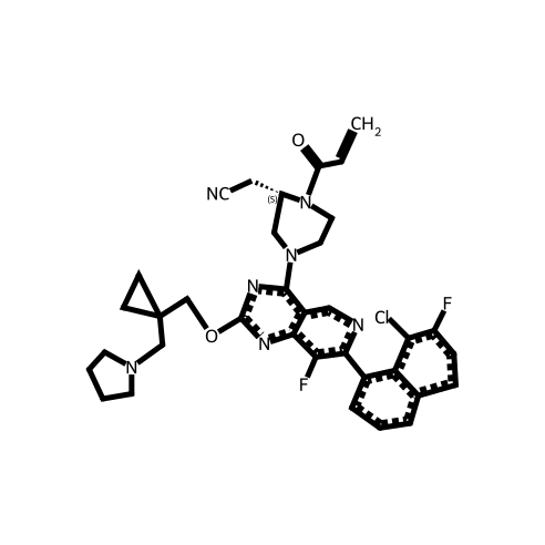 C=CC(=O)N1CCN(c2nc(OCC3(CN4CCCC4)CC3)nc3c(F)c(-c4cccc5ccc(F)c(Cl)c45)ncc23)C[C@@H]1CC#N